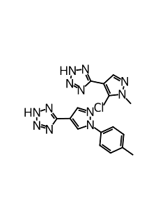 Cc1ccc(-n2cc(-c3nn[nH]n3)cn2)cc1.Cn1ncc(-c2nn[nH]n2)c1Cl